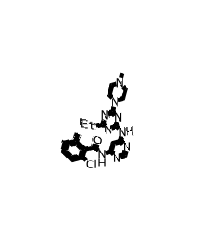 CCc1nc(Nc2cc(NC(=O)c3c(C)cccc3Cl)ncn2)nc(N2CCN(C)CC2)n1